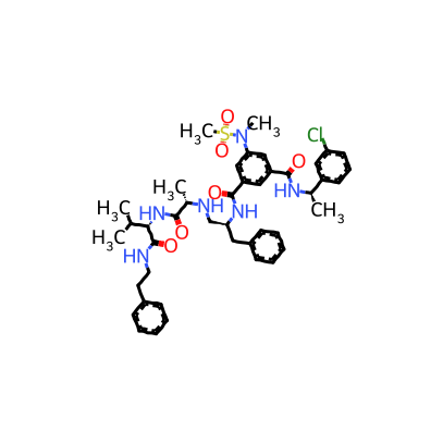 CC(C)[C@H](NC(=O)[C@H](C)NC[C@H](Cc1ccccc1)NC(=O)c1cc(C(=O)N[C@H](C)c2cccc(Cl)c2)cc(N(C)S(C)(=O)=O)c1)C(=O)NCCc1ccccc1